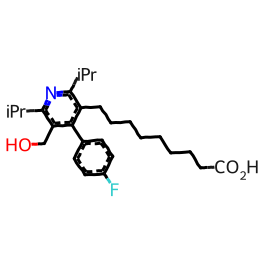 CC(C)c1nc(C(C)C)c(CCCCCCCCC(=O)O)c(-c2ccc(F)cc2)c1CO